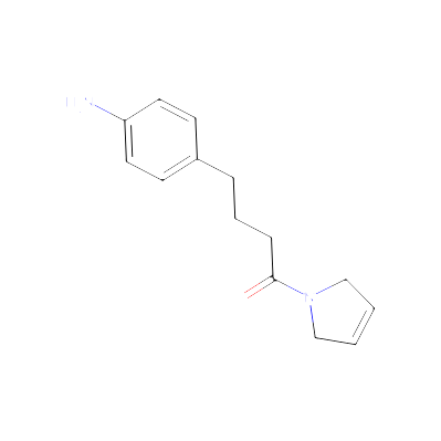 Nc1ccc(CCCC(=O)N2CC=CC2)cc1